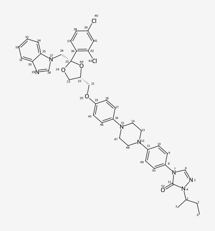 CCC(C)n1ncn(-c2ccc(N3CCN(c4ccc(OC[C@@H]5CO[C@@](Cn6cnc7ccccc76)(c6ccc(Cl)cc6Cl)O5)cc4)CC3)cc2)c1=O